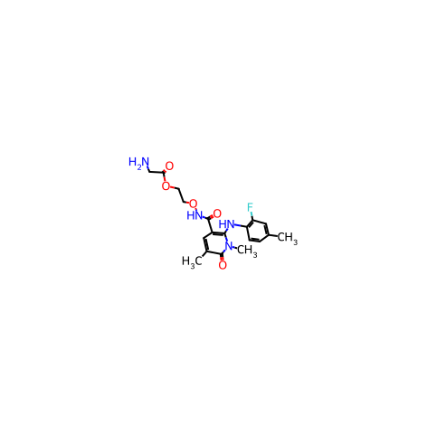 Cc1ccc(Nc2c(C(=O)NOCCOC(=O)CN)cc(C)c(=O)n2C)c(F)c1